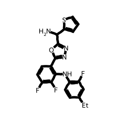 CCc1ccc(Nc2c(-c3nnc(C(N)c4cccs4)o3)ccc(F)c2F)c(F)c1